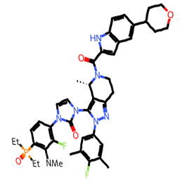 CCP(=O)(CC)c1ccc(-n2ccn(-c3c4c(nn3-c3cc(C)c(F)c(C)c3)CCN(C(=O)c3cc5cc(C6CCOCC6)ccc5[nH]3)[C@H]4C)c2=O)c(F)c1NC